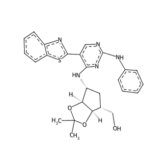 CC1(C)O[C@@H]2[C@@H](CO)C[C@@H](Nc3nc(Nc4ccccc4)ncc3-c3nc4ccccc4s3)[C@@H]2O1